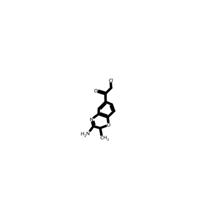 CC1Oc2ccc(C(=O)CCl)cc2N=C1N